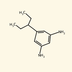 CCC(CC)c1cc(N)cc(N)c1